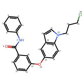 O=C(Nc1ccccc1)c1cccc(Oc2ccc3c(ccn3CCCCl)c2)c1